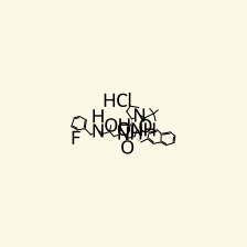 CC(C)(C)C(=O)N1CCC[C@H]1C(=O)N[C@H](Cc1ccc2ccccc2c1)C(=O)NCC(O)CNCc1ccccc1F.Cl